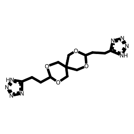 C(CC1OCC2(CO1)COC(CCc1nnn[nH]1)OC2)c1nnn[nH]1